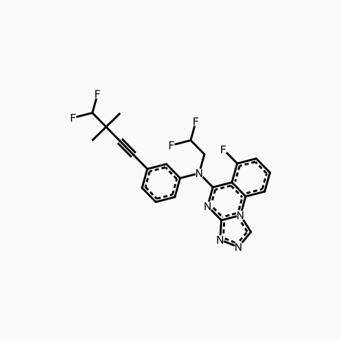 CC(C)(C#Cc1cccc(N(CC(F)F)c2nc3nncn3c3cccc(F)c23)c1)C(F)F